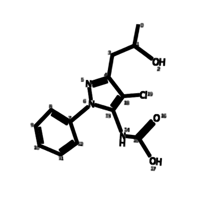 CC(O)Cc1nn(-c2ccccc2)c(NC(=O)O)c1Cl